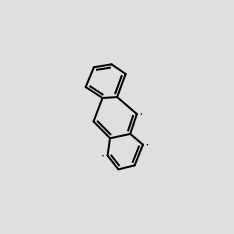 [c]1cc[c]c2cc3ccccc3[c]c12